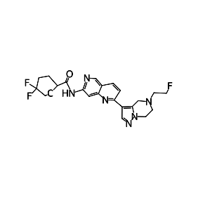 O=C(Nc1cc2nc(-c3cnn4c3CN(CCF)CC4)ccc2cn1)C1CCC(F)(F)CC1